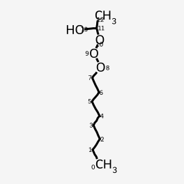 CCCCCCCCOOOC(C)O